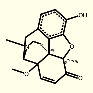 COC12C=CC(=O)[C@]3(C)Oc4c(O)ccc5c4[C@]13CCN(C)C2C5